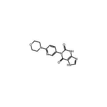 O=c1[nH]c2nc[nH]c2c(=O)n1-c1ccc(N2CCOCC2)nc1